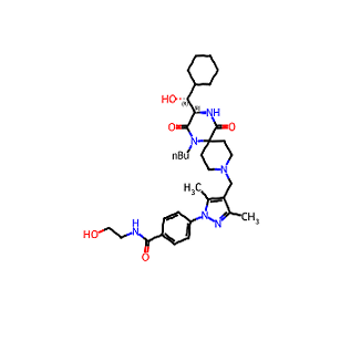 CCCCN1C(=O)[C@@H]([C@H](O)C2CCCCC2)NC(=O)C12CCN(Cc1c(C)nn(-c3ccc(C(=O)NCCO)cc3)c1C)CC2